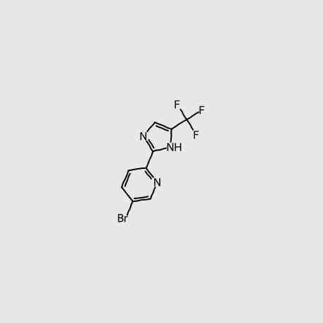 FC(F)(F)c1cnc(-c2ccc(Br)cn2)[nH]1